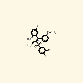 C=C/C(=C(/c1cccc(OC)c1)c1cc(F)ccc1C)S(=O)(=O)c1ccc(F)c(Cl)c1